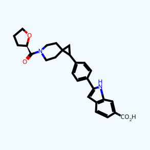 O=C(O)c1ccc2cc(-c3ccc(C4CC45CCN(C(=O)[C@H]4CCCO4)CC5)cc3)[nH]c2c1